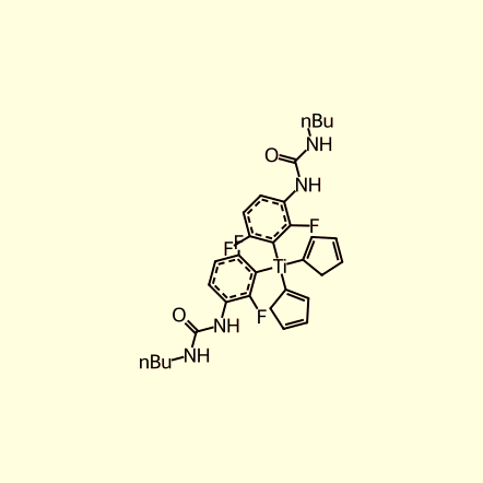 CCCCNC(=O)Nc1ccc(F)[c]([Ti]([C]2=CC=CC2)([C]2=CC=CC2)[c]2c(F)ccc(NC(=O)NCCCC)c2F)c1F